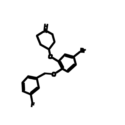 Fc1cccc(COc2ccc(Br)cc2OC2CCNCC2)c1